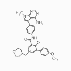 Cn1cc(-c2ccc(NC(=O)c3cn(CC4CCOCC4)cc(-c4ccc(OC(F)(F)F)cc4)c3=O)cc2)c2c(N)ncnc21